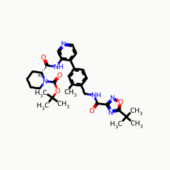 Cc1cc(-c2ccncc2NC(=O)[C@H]2CCCCN2C(=O)OC(C)(C)C)ccc1CNC(=O)c1noc(C(C)(C)C)n1